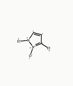 CCc1ccn(CC)[n+]1[O-]